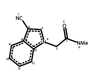 CNC(=O)Cn1cc(C#N)c2ccccc21